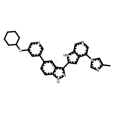 Cc1cn(-c2cncc3[nH]c(-c4n[nH]c5ccc(-c6cncc(OC7CCCCC7)c6)cc45)cc23)cn1